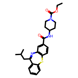 CCOC(=O)N1CCC(NC(=O)c2ccc3c(c2)N=C(CC(C)C)c2ccccc2S3)CC1